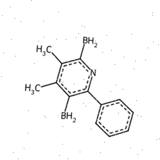 Bc1nc(-c2ccccc2)c(B)c(C)c1C